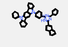 C1=CCCC(n2c3ccccc3c3cc4c(cc32)c2ccccc2n4-c2ccc(C3NC(c4ccc5ccccc5c4)=NC(c4ccccc4)N3)cc2)=C1